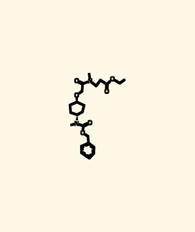 CCOC(=O)CCN(C)C(=O)CO[C@H]1CC[C@H](N(C)C(=O)OCc2ccccc2)CC1